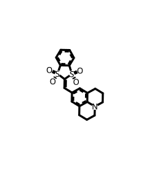 O=S1(=O)C(=Cc2cc3c4c(c2)CCCN4CCC3)S(=O)(=O)c2ccccc21